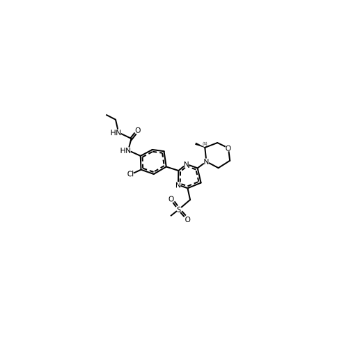 CCNC(=O)Nc1ccc(-c2nc(CS(C)(=O)=O)cc(N3CCOC[C@@H]3C)n2)cc1Cl